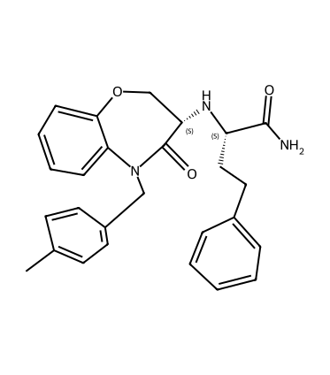 Cc1ccc(CN2C(=O)[C@@H](N[C@@H](CCc3ccccc3)C(N)=O)COc3ccccc32)cc1